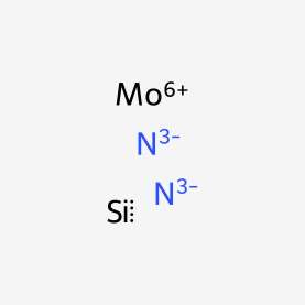 [Mo+6].[N-3].[N-3].[Si]